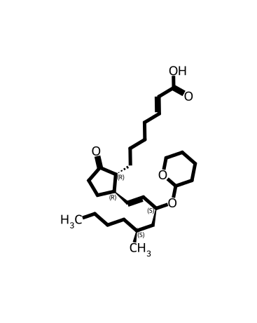 CCCC[C@H](C)C[C@@H](C=C[C@H]1CCC(=O)[C@@H]1CCCCC=CC(=O)O)OC1CCCCO1